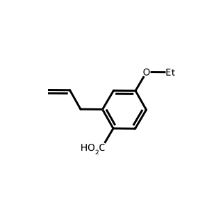 C=CCc1cc(OCC)ccc1C(=O)O